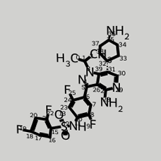 CC(C)n1nc(-c2cc(F)c(NS(=O)(=O)c3ccc(F)cc3F)cc2F)c2c(N)ncc([C@H]3CC[C@H](N)CC3)c21